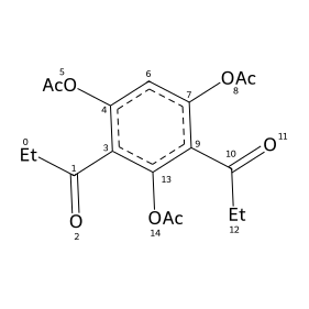 CCC(=O)c1c(OC(C)=O)cc(OC(C)=O)c(C(=O)CC)c1OC(C)=O